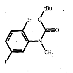 CN(C(=O)OC(C)(C)C)c1cc(F)ccc1Br